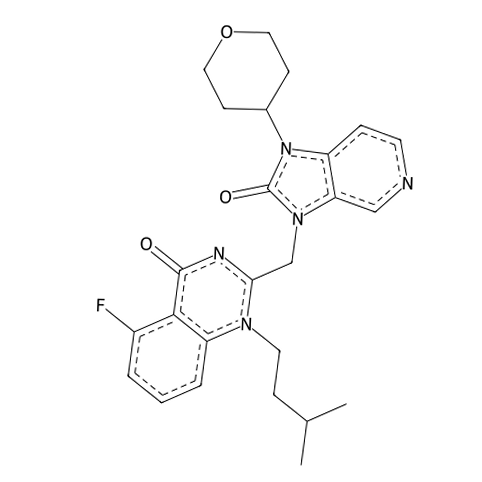 CC(C)CCn1c(Cn2c(=O)n(C3CCOCC3)c3ccncc32)nc(=O)c2c(F)cccc21